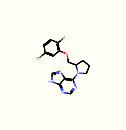 Clc1ccc(Cl)c(OCC2CCCN2c2ncnc3[nH]cnc23)c1